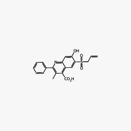 C=CCS(=O)(=O)c1cc2c(C(=O)O)c(C)c(-c3ccccc3)nc2cc1O